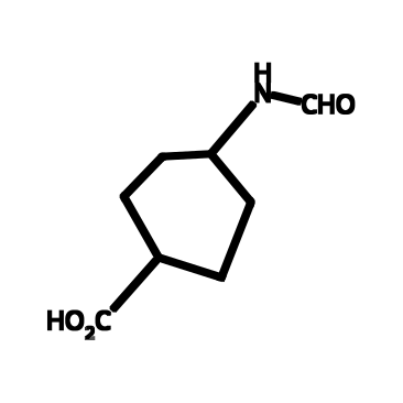 O=CNC1CCC(C(=O)O)CC1